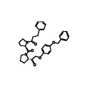 O=C(COc1ccc(OCc2ccccc2)cc1)[C@@H]1CCCN1C(=O)[C@H]1CCCN1C(=O)CCc1ccccc1